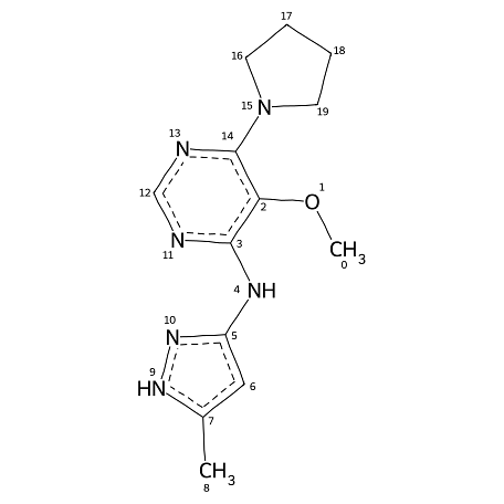 COc1c(Nc2cc(C)[nH]n2)ncnc1N1CCCC1